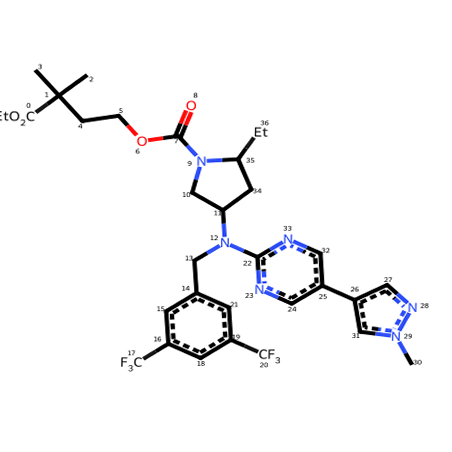 CCOC(=O)C(C)(C)CCOC(=O)N1CC(N(Cc2cc(C(F)(F)F)cc(C(F)(F)F)c2)c2ncc(-c3cnn(C)c3)cn2)CC1CC